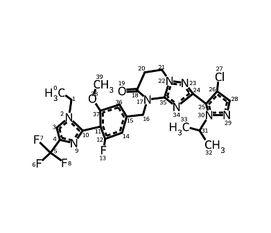 CCn1cc(C(F)(F)F)nc1-c1c(F)cc(CN2C(=O)CCn3nc(-c4c(Cl)cnn4C(C)C)nc32)cc1OC